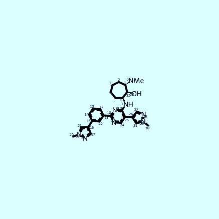 CN[C@H]1CCCC[C@H](Nc2nc(-c3cccc(-c4cnn(C)c4)c3)ncc2-c2cnn(C)c2)[C@@H]1O